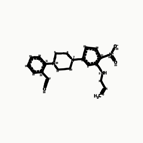 C=CCNc1cc(N2CCN(c3ccccc3C=O)CC2)ccc1[N+](=O)[O-]